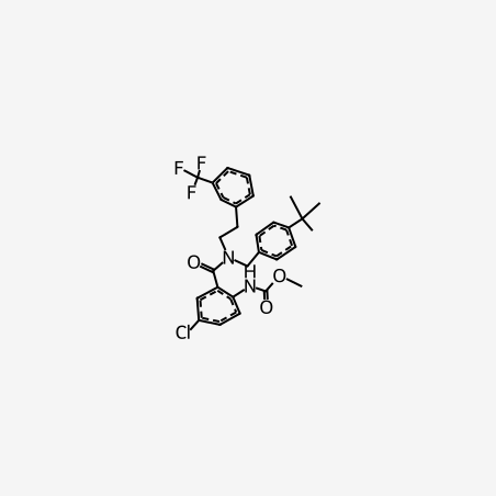 COC(=O)Nc1ccc(Cl)cc1C(=O)N(CCc1cccc(C(F)(F)F)c1)Cc1ccc(C(C)(C)C)cc1